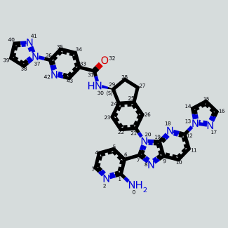 Nc1ncccc1-c1nc2ccc(-n3cccn3)nc2n1-c1ccc2c(c1)CC[C@@H]2NC(=O)c1ccc(-n2cccn2)nc1